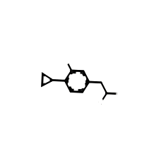 CCc1cc(CC(N)CC)ccc1C1CC1